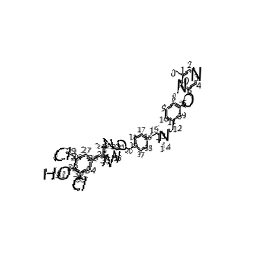 Cc1cncc(Oc2cccc(CN(C)Cc3ccc(COc4ncc(-c5cc(Cl)c(O)c(Cl)c5)nn4)cc3)c2)n1